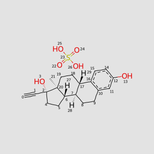 C#C[C@]1(O)CC[C@H]2[C@@H]3CCc4cc(O)ccc4[C@H]3CC[C@@]21C.O=S(=O)(O)O